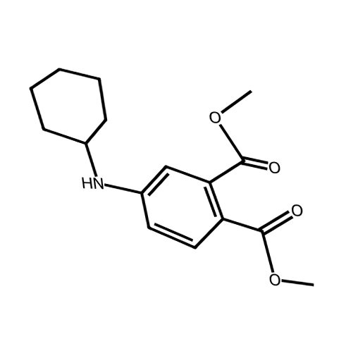 COC(=O)c1ccc(NC2CCCCC2)cc1C(=O)OC